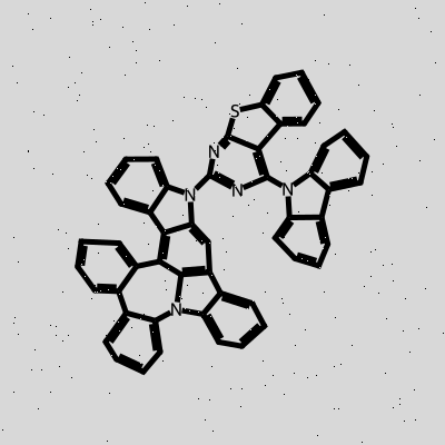 c1ccc2c(c1)-c1ccccc1-n1c3ccccc3c3cc4c(c-2c31)c1ccccc1n4-c1nc(-n2c3ccccc3c3ccccc32)c2c(n1)sc1ccccc12